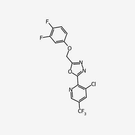 Fc1ccc(OCc2nnc(-c3ncc(C(F)(F)F)cc3Cl)o2)cc1F